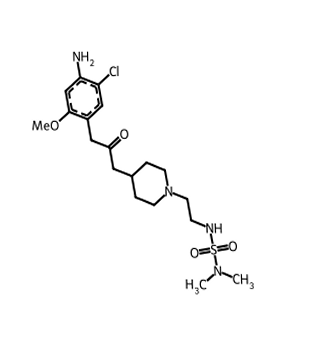 COc1cc(N)c(Cl)cc1CC(=O)CC1CCN(CCNS(=O)(=O)N(C)C)CC1